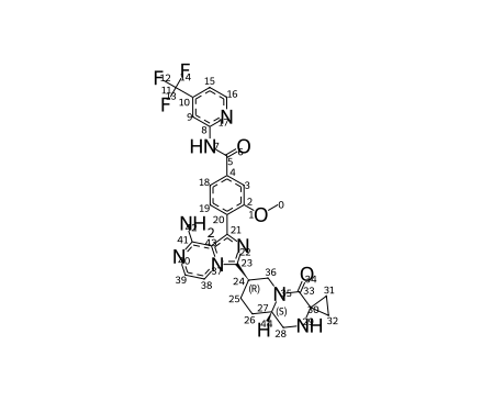 COc1cc(C(=O)Nc2cc(C(F)(F)F)ccn2)ccc1-c1nc([C@@H]2CC[C@H]3CNC4(CC4)C(=O)N3C2)n2ccnc(N)c12